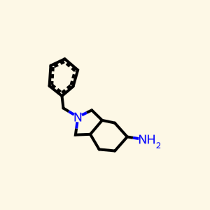 NC1CCC2CN(Cc3ccccc3)CC2C1